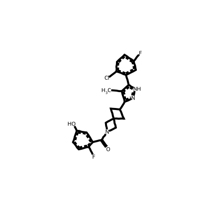 Cc1c(C2CC3(C2)CN(C(=O)c2cc(O)ccc2F)C3)n[nH]c1-c1cc(F)ccc1Cl